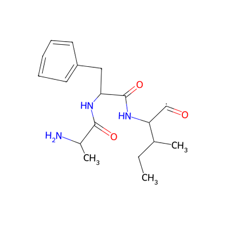 CCC(C)C([C]=O)NC(=O)C(Cc1ccccc1)NC(=O)C(C)N